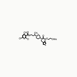 COCCONC(=O)N(Cc1ccsc1)C1CCN(C(C)CCNC(=O)c2c(C)cc(Cl)nc2Cl)CC1